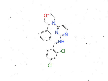 Clc1ccc(CNc2nccc(N3CCOCC3c3ccccc3)n2)c(Cl)c1